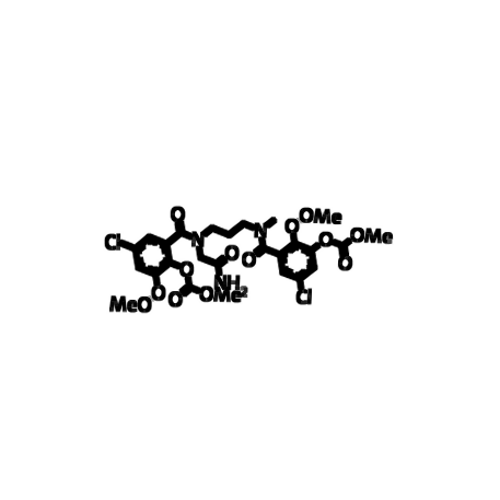 COOc1cc(Cl)cc(C(=O)N(CCCN(C)C(=O)c2cc(Cl)cc(OC(=O)OC)c2OOC)CC(N)=O)c1OC(=O)OC